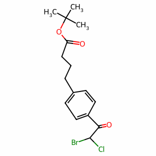 CC(C)(C)OC(=O)CCCc1ccc(C(=O)C(Cl)Br)cc1